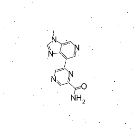 Cn1cnc2c(-c3cncc(C(N)=O)n3)cncc21